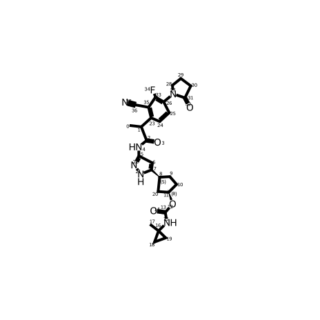 CC(C(=O)Nc1cc([C@H]2CC[C@@H](OC(=O)NC3(C)CC3)C2)[nH]n1)c1ccc(N2CCCC2=O)c(F)c1C#N